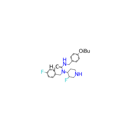 C=C(NCc1ccc(OCC(C)C)cc1)N(Cc1ccc(F)cc1)[C@H]1CCNC[C@H]1F